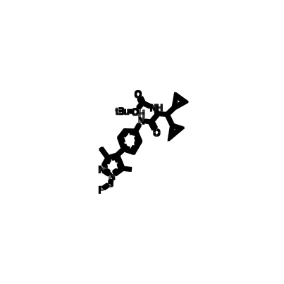 Cc1nn(SF)c(C)c1-c1ccc(NC(=O)C(NC(=O)OC(C)(C)C)C(C2CC2)C2CC2)cc1